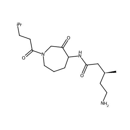 CC(C)CCC(=O)N1CCCC(NC(=O)C[C@@H](C)CCN)C(=O)C1